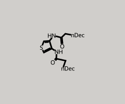 CCCCCCCCCCCC(=O)Nc1cscc1NC(=O)CCCCCCCCCCC